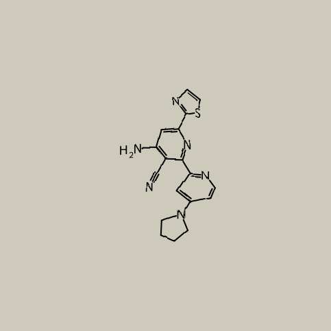 N#Cc1c(N)cc(-c2nccs2)nc1-c1cc(N2CCCC2)ccn1